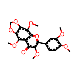 COc1ccc(-c2oc3c(OC)c4c(c(OC)c3c(=O)c2OC)OCO4)cc1OC